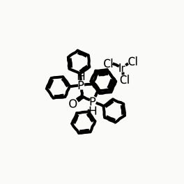 O=C([PH](c1ccccc1)(c1ccccc1)c1ccccc1)[PH](c1ccccc1)(c1ccccc1)c1ccccc1.[Cl][Ir]([Cl])[Cl]